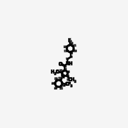 Cc1cc(C(=O)NCCc2ccc(F)cc2)c(C)n1-c1ccccc1C(F)(F)F